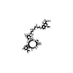 CC[C@H]1OC(=O)[C@H](C)[C@H](O[C@@H]2C[C@](C)(OC)[C@H](OC(=O)CCNCCN(C)CCSc3ccc4c(c3)c(=O)c(C(=O)O)cn4CC)[C@H](C)O2)[C@@H](C)[C@H](O[C@H]2O[C@H](C)C[C@H](C(C)C)[C@H]2O)[C@@](C)(O)C[C@H](C)CN(C)[C@@H](C)[C@H](O)[C@]1(C)O